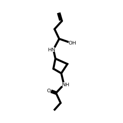 C=CCC(O)NC1CC(NC(=O)CC)C1